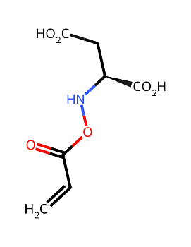 C=CC(=O)ON[C@@H](CC(=O)O)C(=O)O